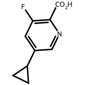 O=C(O)c1ncc(C2CC2)cc1F